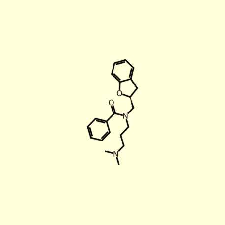 CN(C)CCCN(C[C@@H]1Cc2ccccc2O1)C(=O)c1ccccc1